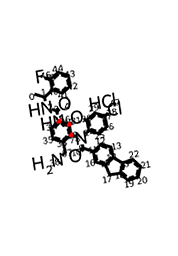 CC(NC(=O)NCCN(C(=O)c1ccc2c(c1)Cc1ccccc1-2)c1ccc(Cl)cc1Oc1cccc(CN)c1)c1ccccc1F.Cl